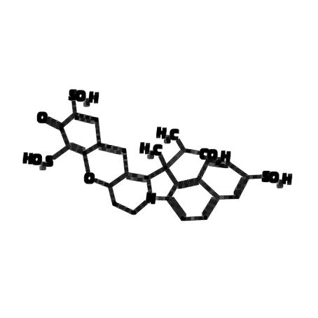 CC(C(=O)O)C1(C)C2=C3C=C4C=C(S(=O)(=O)O)C(=O)C(S(=O)(=O)O)=C4OC3CCN2c2ccc3cc(S(=O)(=O)O)ccc3c21